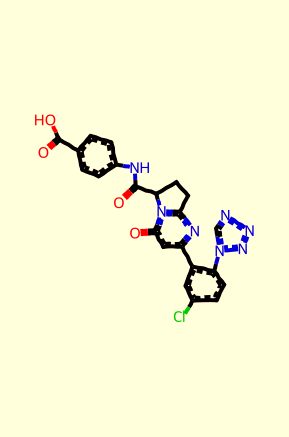 O=C(O)c1ccc(NC(=O)C2CCc3nc(-c4cc(Cl)ccc4-n4cnnn4)cc(=O)n32)cc1